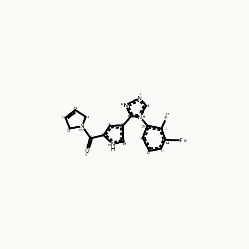 O=C(c1cc(-c2nncn2-c2cccc(F)c2F)c[nH]1)N1CC=CC1